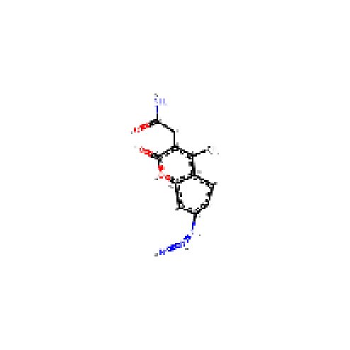 Cc1c(CC(N)=O)c(=O)oc2cc(N=[N+]=[N-])ccc12